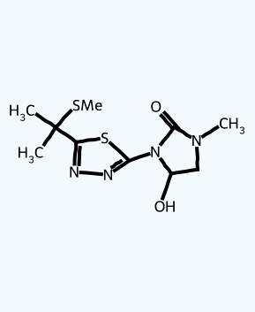 CSC(C)(C)c1nnc(N2C(=O)N(C)CC2O)s1